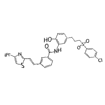 CC(C)c1csc(C=Cc2cccc(C(=O)Nc3cc(CCCS(=O)(=O)c4ccc(Cl)cc4)ccc3O)c2)n1